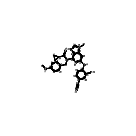 COc1ccc(CN(C(=O)C2CC2)c2nc(Oc3ccc(C#N)cc3F)cc3c2ncn3C)cc1